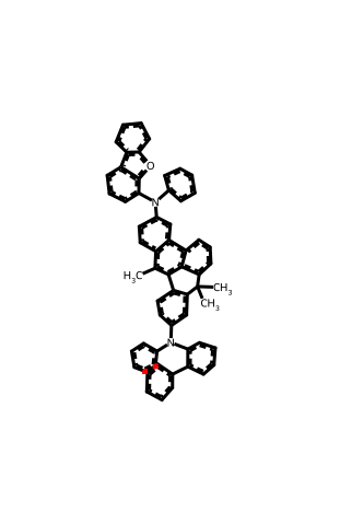 Cc1c2c3c(cccc3c3cc(N(c4ccccc4)c4cccc5c4oc4ccccc45)ccc13)C(C)(C)c1cc(N(c3ccccc3)c3ccccc3-c3ccccc3)ccc1-2